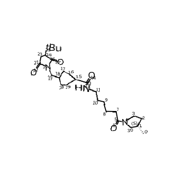 C[C@H]1CCN(C(=O)CCCCCNC(=O)C2CCC(CN3C(=O)CC(C(C)(C)C)C3=O)CC2)C1